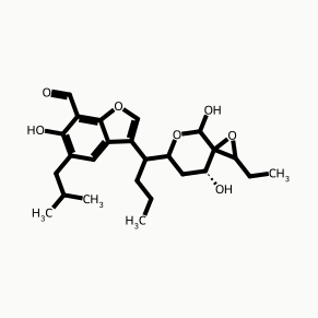 CCCC(c1coc2c(C=O)c(O)c(CC(C)C)cc12)C1C[C@@H](O)C2(OC2CC)C(O)O1